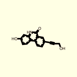 O=c1[nH]c2cc(O)ccc2c2ccc(C#CCO)cc12